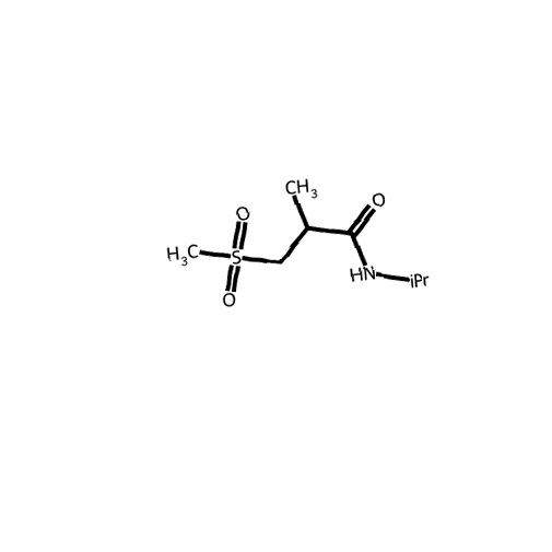 CC(C)NC(=O)C(C)CS(C)(=O)=O